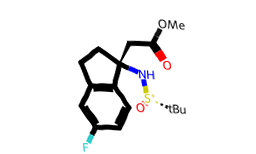 COC(=O)C[C@]1(N[S@@+]([O-])C(C)(C)C)CCc2cc(F)ccc21